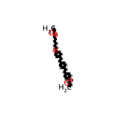 C=CC(=O)OCCCCCCOc1ccc(CCc2ccc(CCc3ccc(OC(=O)C=C)cc3)cc2)cc1